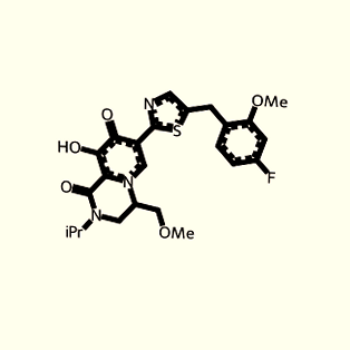 COCC1CN(C(C)C)C(=O)c2c(O)c(=O)c(-c3ncc(Cc4ccc(F)cc4OC)s3)cn21